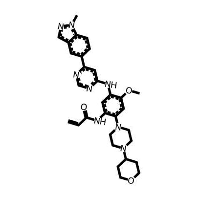 C=CC(=O)Nc1cc(Nc2cc(-c3ccc4c(cnn4C)c3)ncn2)c(OC)cc1N1CCN(C2CCOCC2)CC1